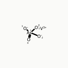 O=[As]([O-])([O-])[O-].[V+3]